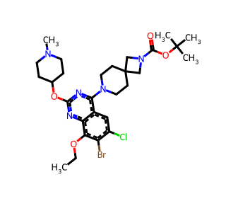 CCOc1c(Br)c(Cl)cc2c(N3CCC4(CC3)CN(C(=O)OC(C)(C)C)C4)nc(OC3CCN(C)CC3)nc12